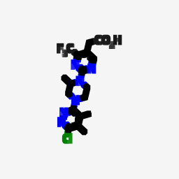 Cc1c(Cl)nnc(N2CCN(c3ncc(CC(=O)O)c(C(F)(F)F)n3)C(C)C2)c1C